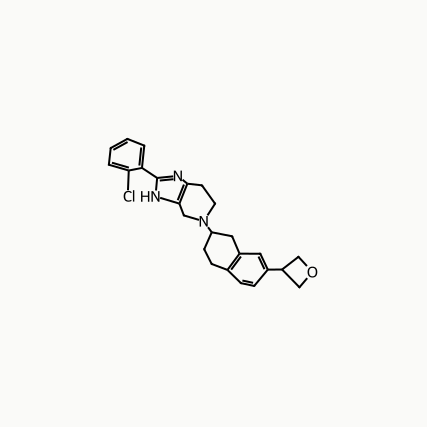 Clc1ccccc1-c1nc2c([nH]1)CN(C1CCc3ccc(C4COC4)cc3C1)CC2